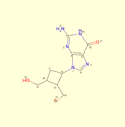 Nc1nc2c(ncn2C2CC(CO)C2CBr)c(=O)[nH]1